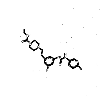 CCOC(=O)N1CCN(CCc2cc(F)cc(NC(=O)Nc3ccc(C)nc3)c2)CC1